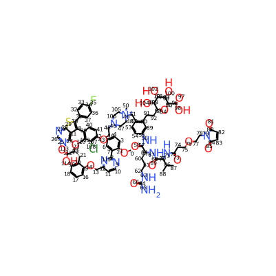 COc1ccccc1-c1nccc(COc2ccccc2C[C@@H](Oc2ncnc3sc(-c4ccc(F)cc4)c(-c4ccc(OCCN5CC[N+](C)(Cc6ccc(NC(=O)[C@H](CCCNC(N)=O)NC(=O)[C@@H](NC(=O)CCOCCN7C(=O)C=CC7=O)C(C)C)cc6CC[C@@H]6O[C@H](C(=O)O)[C@@H](O)[C@H](O)[C@H]6O)CC5)c(Cl)c4C)c23)C(=O)O)n1